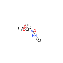 COc1cc2c(cc1OC)CCN(C(=O)CCNCC1Cc3ccccc31)CC2